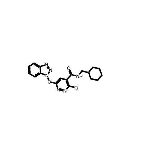 O=C(NCC1CCCCC1)c1cc(On2nnc3ccccc32)nnc1Cl